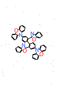 c1ccc2c(c1)Oc1ccccc1N2c1ccc(-c2ccc(N3c4ccccc4Oc4ccccc43)cc2-c2nc3ccccc3o2)c(-c2nc3ccccc3o2)c1